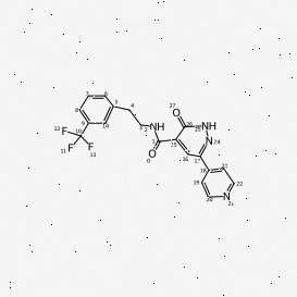 O=C(NCCc1cccc(C(F)(F)F)c1)c1cc(-c2ccncc2)n[nH]c1=O